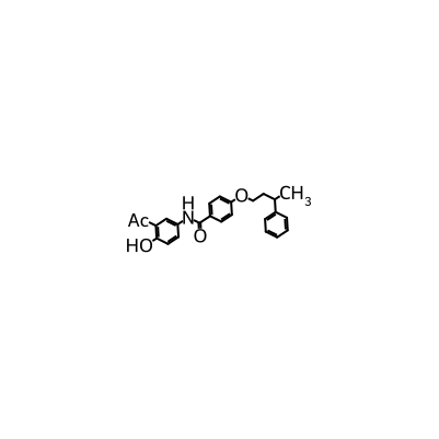 CC(=O)c1cc(NC(=O)c2ccc(OCCC(C)c3ccccc3)cc2)ccc1O